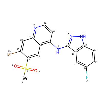 CC(C)S(=O)(=O)c1cc2c(Nc3n[nH]c4ccc(F)cc34)ccnc2cc1Br